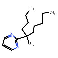 CCCCCC(C)(CCCC)c1ncccn1